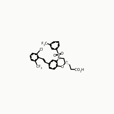 O=C(O)CC[C@H]1CN(S(=O)(=O)c2cccc(C(F)(F)F)c2)c2cc(C=Cc3c(Cl)cccc3C(F)(F)F)ccc2O1